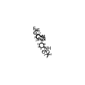 CC(C)(C)OC(=O)N[C@@H]1CCC[C@H](c2nnc3cc(OC(F)F)ccn23)C1